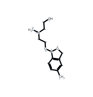 Cc1ccc2c(c1)COB2OCCN(C)CCO